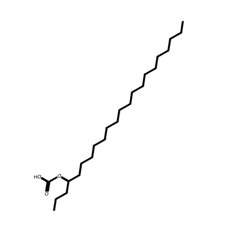 CCCCCCCCCCCCCCCCCCC(CCC)OC(=O)O